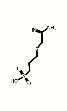 N=C(N)CSCCCS(=O)(=O)O